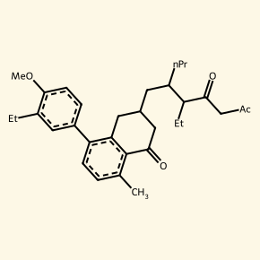 CCCC(CC1CC(=O)c2c(C)ccc(-c3ccc(OC)c(CC)c3)c2C1)C(CC)C(=O)CC(C)=O